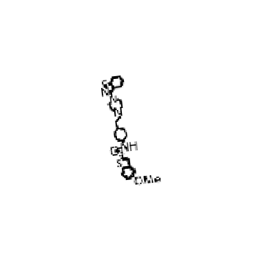 COc1ccc2sc([S+]([O-])NC3CCC(CCN4CCN(c5nsc6ccccc56)CC4)CC3)cc2c1